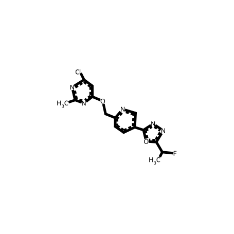 Cc1nc(Cl)cc(OCc2ccc(-c3nnc(C(C)F)o3)cn2)n1